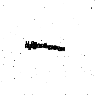 CC1(C)OCC(COCCOCCOCCOCCO)O1